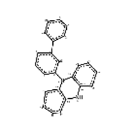 c1ccc(-c2cccc(N3c4ccccc4Nc4ccccc43)c2)cc1